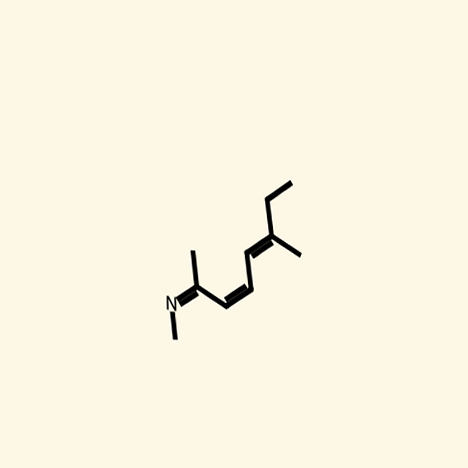 CC/C(C)=C/C=C\C(C)=N/C